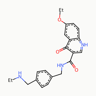 CCNCc1ccc(CNC(=O)c2c[nH]c3ccc(OCC)cc3c2=O)cc1